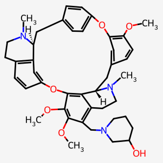 COc1ccc2cc1Oc1ccc(cc1)C[C@H]1c3cc(ccc3CCN1C)Oc1c(OC)c(OC)c(CN3CCCC(O)C3)c3c1[C@H](C2)N(C)CC3